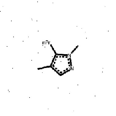 CCCc1c(C)cnn1C